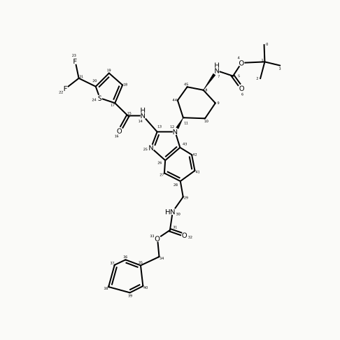 CC(C)(C)OC(=O)N[C@H]1CC[C@@H](n2c(NC(=O)c3ccc(C(F)F)s3)nc3cc(CNC(=O)OCc4ccccc4)ccc32)CC1